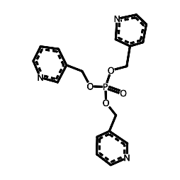 O=P(OCc1cccnc1)(OCc1cccnc1)OCc1cccnc1